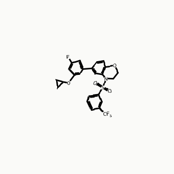 O=S(=O)(c1cccc(C(F)(F)F)c1)N1CCOc2ccc(-c3cc(F)cc(OC4CC4)c3)cc21